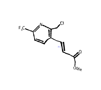 COC(=O)/C=C/c1ccc(C(F)(F)F)nc1Cl